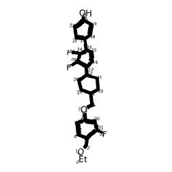 CCOCc1ccc(OCC2CCC(c3ccc(-c4ccc(O)cc4)c(F)c3F)CC2)cc1F